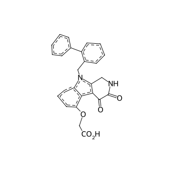 O=C(O)COc1cccc2c1c1c(n2Cc2ccccc2-c2ccccc2)CNC(=O)C1=O